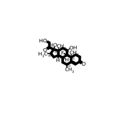 C[C@@H]1C[C@H]2[C@@H]3C[C@H](C)C4=CC(=O)CC[C@]4(C)[C@@]3(F)[C@@H](O)C[C@]2(C)[C@@]1(O)C(=O)CO